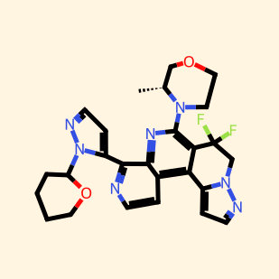 C[C@@H]1COCCN1c1nc2c(-c3ccnn3C3CCCCO3)nccc2c2c1C(F)(F)Cn1nccc1-2